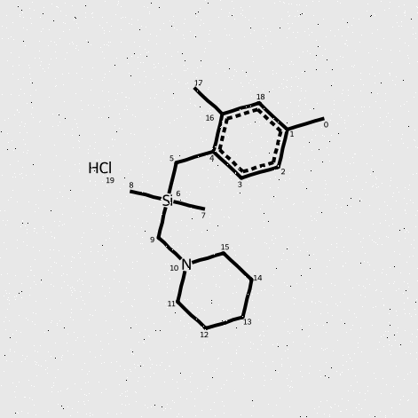 Cc1ccc(C[Si](C)(C)CN2CCCCC2)c(C)c1.Cl